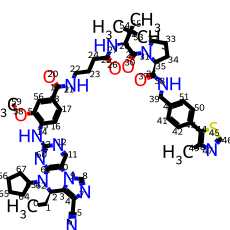 CC[C@@H]1c2c(C#N)ncn2-c2cnc(Nc3ccc(C(=O)NCCCC(=O)N[C@H](C(=O)N4CCC[C@H]4C(=O)NCc4ccc(-c5scnc5C)cc4)C(C)(C)C)cc3OC)nc2N1C1CCCC1